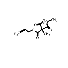 C=CCOC(=O)C(C)(C(N)=O)C(=O)OC